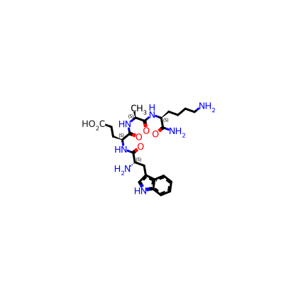 C[C@H](NC(=O)[C@H](CCC(=O)O)NC(=O)[C@@H](N)Cc1c[nH]c2ccccc12)C(=O)N[C@@H](CCCCN)C(N)=O